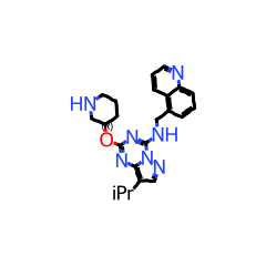 CC(C)c1cnn2c(NCc3cccc4ncccc34)nc(O[C@@H]3CCCNC3)nc12